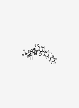 O=C(Nc1ccc(-c2ccccc2)cc1)C1CCCc2sc(NS(=O)(=O)C3CC3)nc21